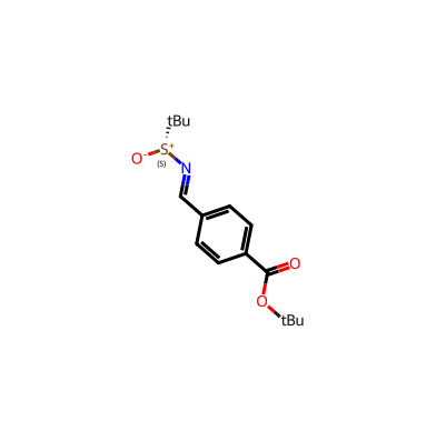 CC(C)(C)OC(=O)c1ccc(C=N[S@+]([O-])C(C)(C)C)cc1